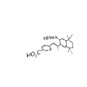 CCCCCCc1cc2c(cc1C(C)=Cc1ccc(C(=O)O)cc1)C(C)(C)CCC2(C)C